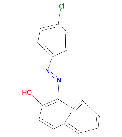 Oc1ccc2ccccc2c1N=Nc1ccc(Cl)cc1